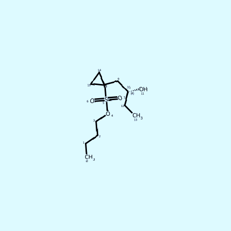 CCCCOS(=O)(=O)C1(C[C@H](O)CC)CC1